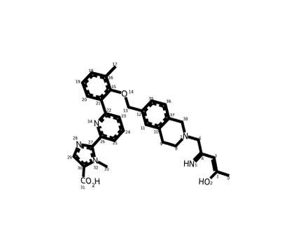 C/C(O)=C/C(=N)CN1CCc2cc(COc3c(C)cccc3-c3cccc(-c4ncc(C(=O)O)n4C)n3)ccc2C1